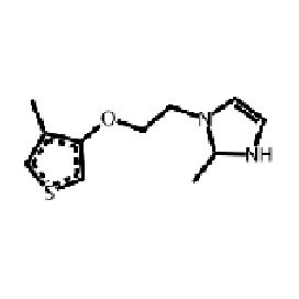 Cc1cscc1OCCN1C=CNC1C